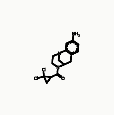 Nc1ccc2c(c1)N1CCN(C(=O)C3CC3(Cl)Cl)C(C2)C1